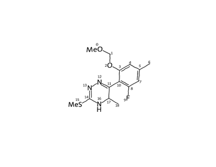 COCOc1cc(C)cc(F)c1C1=NN=C(SC)NC1C